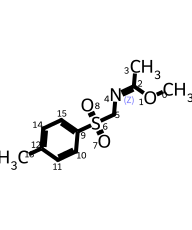 CO/C(C)=N\CS(=O)(=O)c1ccc(C)cc1